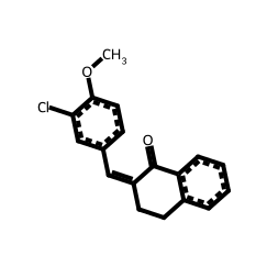 COc1ccc(C=C2CCc3ccccc3C2=O)cc1Cl